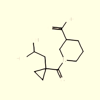 CC(C)CC1(C(=O)N2CCCC(C(=O)O)C2)CC1